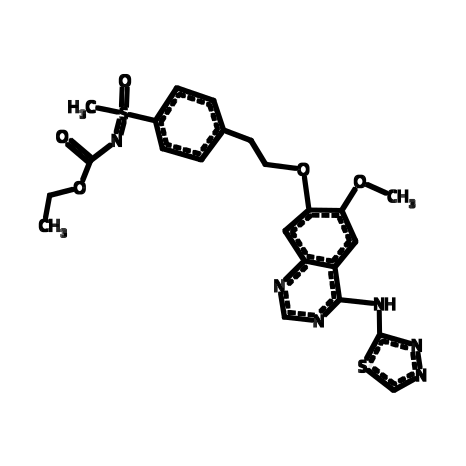 CCOC(=O)N=S(C)(=O)c1ccc(CCOc2cc3ncnc(Nc4nncs4)c3cc2OC)cc1